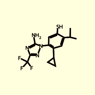 CC(C)c1cc(C2CC2)c(-n2nc(C(F)(F)F)nc2N)cc1S